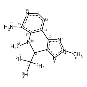 [2H]C([2H])([2H])C1c2nn(C)nc2-c2ccnc(N)c2N1C